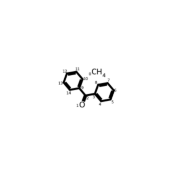 C.O=C(c1ccccc1)c1ccccc1